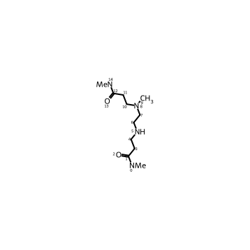 CNC(=O)CCNCCN(C)CCC(=O)NC